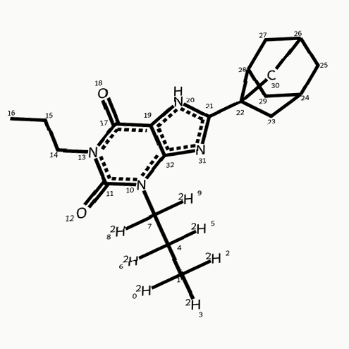 [2H]C([2H])([2H])C([2H])([2H])C([2H])([2H])n1c(=O)n(CCC)c(=O)c2[nH]c(C34CC5CC(CC3C5)C4)nc21